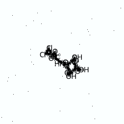 C[C@@H]1C(=O)N(c2cc(Cl)cc(Cl)c2)C(=O)N1CCCCNC(=O)CN1CCN(CC(=O)O)CCN(CC(=O)O)CCN(CC(=O)O)CC1